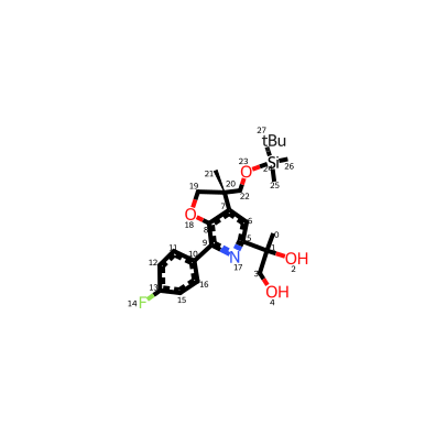 CC(O)(CO)c1cc2c(c(-c3ccc(F)cc3)n1)OC[C@]2(C)CO[Si](C)(C)C(C)(C)C